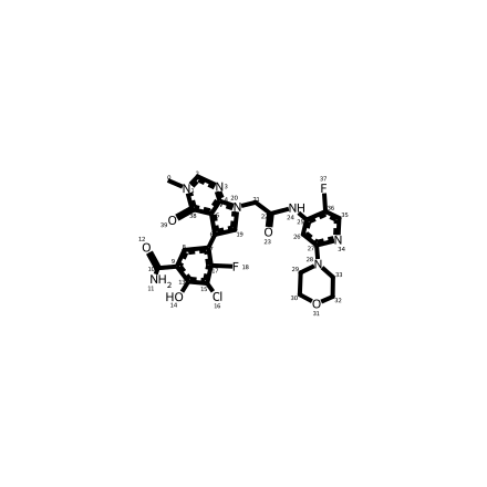 Cn1cnc2c(c(-c3cc(C(N)=O)c(O)c(Cl)c3F)cn2CC(=O)Nc2cc(N3CCOCC3)ncc2F)c1=O